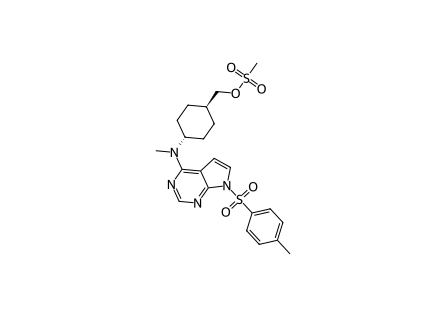 Cc1ccc(S(=O)(=O)n2ccc3c(N(C)[C@H]4CC[C@H](COS(C)(=O)=O)CC4)ncnc32)cc1